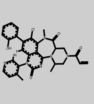 C=CC(=O)N1CC(C)N2c3nc(=O)n(-c4c(C)ccnc4C(C)C)c4c(F)c(-c5ccccc5O)c(Cl)c(c34)N(C)C(=O)C2C1